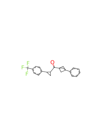 O=C(C1CC1c1ccc(C(F)(F)F)cc1)C12CC(c3ccccc3)(C1)C2